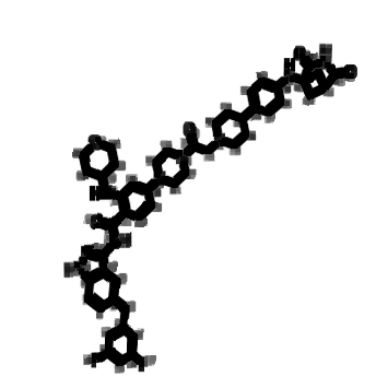 O=C(Nc1n[nH]c2ccc(Cc3cc(F)cc(F)c3)cc12)c1ccc(N2CCN(C(=O)CN3CCC(c4ccc(NC56CC(C5)C(=O)NC6=O)cc4)CC3)CC2)cc1NC1CCOCC1